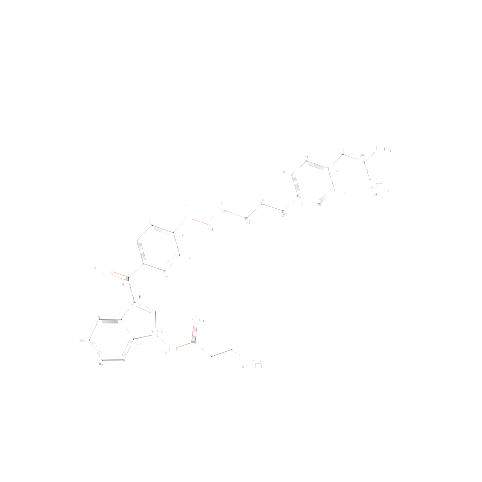 CCCC(=O)On1cc(C(=O)c2ccc(O/C=C/CCCc3ccc(CC(C)C)cc3)cc2)c2ccccc21